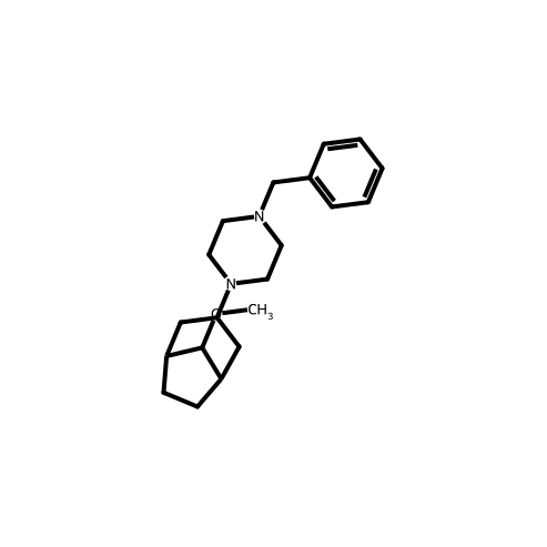 COC1C2CCC1CC(N1CCN(Cc3ccccc3)CC1)C2